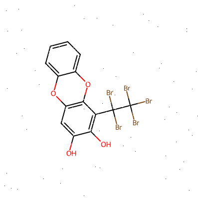 Oc1cc2c(c(C(Br)(Br)C(Br)(Br)Br)c1O)Oc1ccccc1O2